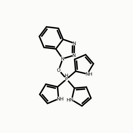 c1c[nH]c([PH](On2nnc3ccccc32)(c2ccc[nH]2)c2ccc[nH]2)c1